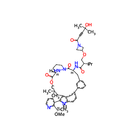 CCn1c(-c2cccnc2[C@H](C)OC)c2c3cc(ccc31)-c1cccc(c1)C[C@H](NC(=O)C(COC1CN(C(=O)C#CC(C)(C)O)C1)C(C)C)C(=O)N1CCC[C@H](N1)C(=O)OCC(C)(C)C2